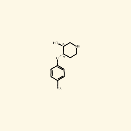 CC(C)(C)c1ccc(O[C@H]2CCNC[C@@H]2O)cc1